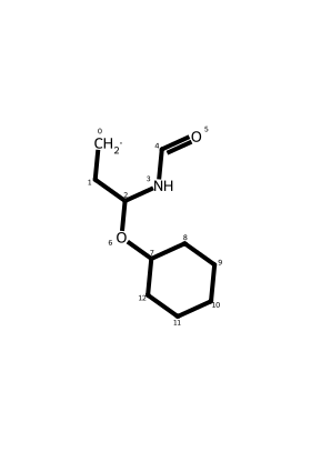 [CH2]CC(NC=O)OC1CCCCC1